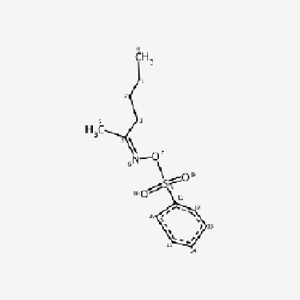 CCCCC(C)=NOS(=O)(=O)c1ccccc1